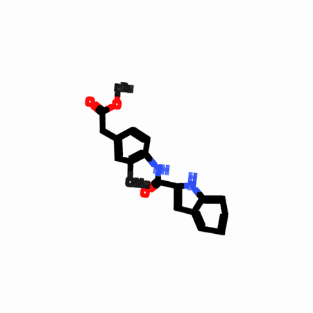 CCCCOC(=O)Cc1ccc(NC(=O)c2cc3ccccc3[nH]2)c(OC)c1